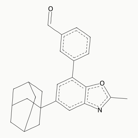 Cc1nc2cc(C34CC5CC(CC(C5)C3)C4)cc(-c3cccc(C=O)c3)c2o1